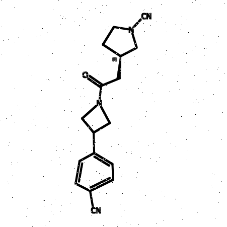 N#Cc1ccc(C2CN(C(=O)C[C@H]3CCN(C#N)C3)C2)cc1